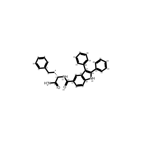 NC(=O)[C@H](CCc1ccccc1)NC(=O)c1ccc2[nH]c(-c3ccccc3)c(-c3ccccc3)c2c1